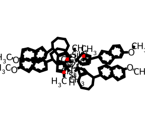 COc1ccc2cc(C3CCCCC4=C3C=C(C)[C]43[SiH](C)[C]4(C(C)=CC5=C4CCCCC5c4ccc5cc(OC)ccc5c4)[Zr]34([Cl])([Cl])[C]3(C(C)=CC5=C3CCCCC5c3ccc5cc(OC)ccc5c3)[SiH](C)[C]43C(C)=CC4=C3CCCCC4c3ccc4cc(OC)ccc4c3)ccc2c1